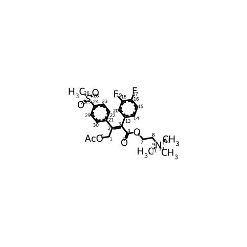 CC(=O)OCC(=C(C(=O)OCC[N+](C)(C)C)c1ccc(F)c(F)c1)c1ccc(S(C)(=O)=O)cc1